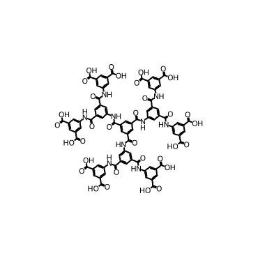 O=C(O)c1cc(NC(=O)c2cc(NC(=O)c3cc(C(=O)Nc4cc(C(=O)Nc5cc(C(=O)O)cc(C(=O)O)c5)cc(C(=O)Nc5cc(C(=O)O)cc(C(=O)O)c5)c4)cc(C(=O)Nc4cc(C(=O)Nc5cc(C(=O)O)cc(C(=O)O)c5)cc(C(=O)Nc5cc(C(=O)O)cc(C(=O)O)c5)c4)c3)cc(C(=O)Nc3cc(C(=O)O)cc(C(=O)O)c3)c2)cc(C(=O)O)c1